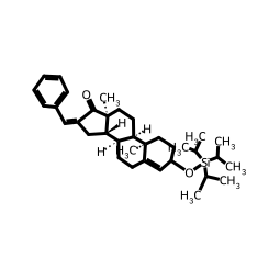 CC(C)[Si](OC1C=C2CC[C@@H]3[C@@H](CC[C@]4(C)C(=O)C(=Cc5ccccc5)C[C@@H]34)[C@@]2(C)CC1)(C(C)C)C(C)C